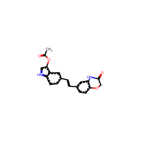 CC(=O)Oc1c[nH]c2ccc(C=Cc3ccc4c(c3)NC(=O)CO4)cc12